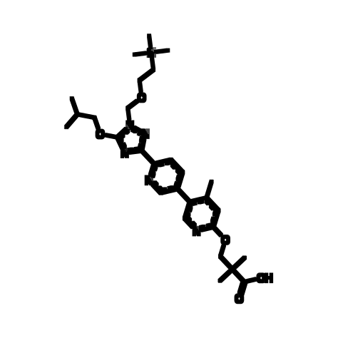 Cc1cc(OCC(C)(C)C(=O)O)ncc1-c1ccc(-c2nc(OCC(C)C)n(COCC[Si](C)(C)C)n2)nc1